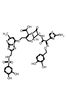 Cc1cc(SCC2=C(C(=O)O)N3C(=O)[C@@H](NC(=O)/C(=N\OCc4ccc(O)c(O)c4)c4csc(N)n4)[C@H]3SC2)n2nc(CNS(=O)(=O)c3ccc(O)c(O)c3)nc2n1